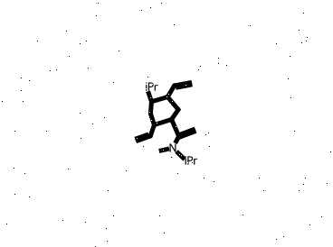 C=CC1CC(C(C)C)C(C=C)CC1C(=C)N(C)C(C)C